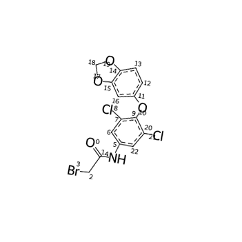 O=C(CBr)Nc1cc(Cl)c(Oc2ccc3c(c2)OCO3)c(Cl)c1